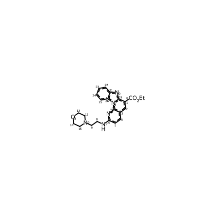 CCOC(=O)c1cc2ccc(NCCN3CCOCC3)nc2n2c1nc1ccccc12